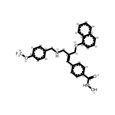 O=C(NO)c1ccc(/C=C(/CNCc2ccc(OC(F)(F)F)cc2)COc2cccc3ccccc23)cc1